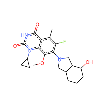 COc1c(N2CC3CCCC(O)C3C2)c(F)c(C)c2c(=O)[nH]c(=O)n(C3CC3)c12